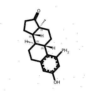 C[C@]12CC[C@@H]3c4c(P)cc(O)cc4CC[C@H]3[C@@H]1CCC2=O